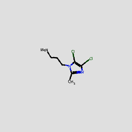 CNCCCn1c(C)nc(Cl)c1Cl